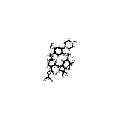 COc1cc(N2CCN(C)CC2)c(N)cc1Nc1ncc(C(=O)OC(C)C)c(N2CC(C)(C)c3nc(C)ccc32)n1